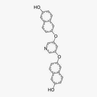 Oc1ccc2cc(Oc3cncc(Oc4ccc5cc(O)ccc5c4)c3)ccc2c1